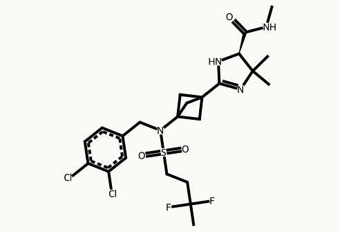 CNC(=O)[C@@H]1NC(C23CC(N(Cc4ccc(Cl)c(Cl)c4)S(=O)(=O)CCC(C)(F)F)(C2)C3)=NC1(C)C